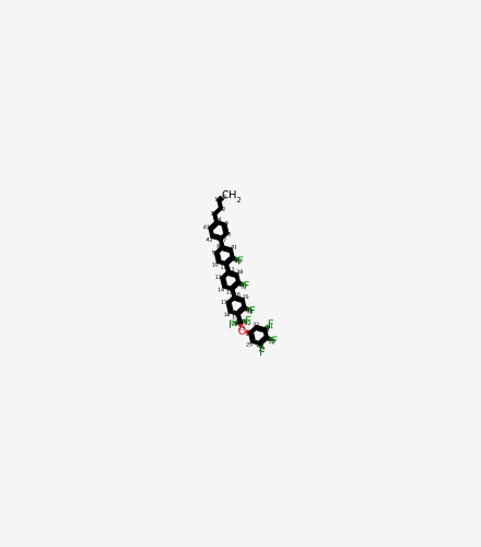 C=CCCc1ccc(-c2ccc(-c3ccc(-c4ccc(C(F)(F)Oc5cc(F)c(F)c(F)c5)c(F)c4)c(F)c3)c(F)c2)cc1